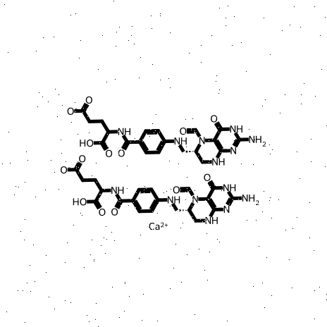 Nc1nc2c(c(=O)[nH]1)N(C=O)[C@@H](CNc1ccc(C(=O)NC(CCC(=O)[O-])C(=O)O)cc1)CN2.Nc1nc2c(c(=O)[nH]1)N(C=O)[C@@H](CNc1ccc(C(=O)NC(CCC(=O)[O-])C(=O)O)cc1)CN2.[Ca+2]